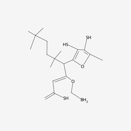 BCO/C(=C\C(=C)S)C(c1oc(C)c(S)c1S)C(C)(C)CCC(C)(C)C